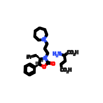 CC(C)C[C@H]1[C@@H](c2ccccc2)OC(=O)N1CCCN1CCCCCC1.NC(CCC(=O)O)C(=O)O